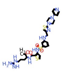 CC(=O)C(CCCNC(=N)N)NC(=O)c1sccc1NS(=O)(=O)c1cccc(NCc2csc(N3CCN(c4ccncc4)CC3)n2)c1